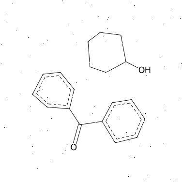 O=C(c1ccccc1)c1ccccc1.OC1CCCCC1